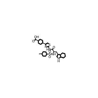 Cc1ccc(S(=O)(=O)NC(Cc2c[nH]c3ccccc23)C(=O)Nc2nc(-c3ccc(C(=O)O)cc3)cs2)cc1